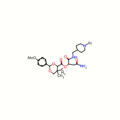 COc1ccc(C2OCC(C)(C)C(C(=O)OC(CC(N)=O)C(=O)NCC3CCN(C(C)=O)CC3)O2)cc1